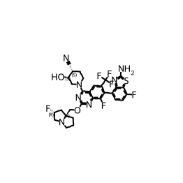 N#C[C@@H]1CCN(c2nc(OC[C@@]34CCCN3C[C@H](F)C4)nc3c(F)c(-c4ccc(F)c5sc(N)nc45)c(C(F)(F)F)cc23)C[C@H]1O